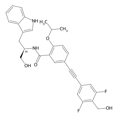 CC(C)Oc1ccc(C#Cc2cc(F)c(CO)c(F)c2)cc1C(=O)N[C@@H](CO)Cc1c[nH]c2ccccc12